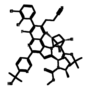 COC(=O)N1[C@H](C)CC[C@@H]1c1cc2c(-c3ccc(C(C)(C)O)nc3)nc3c(F)c(-c4cccc(Cl)c4Cl)c(CCC#N)cc3c2n1[C@H]1[C@@H]2C[C@H]1N(C(=O)OC(C)(C)C)C2